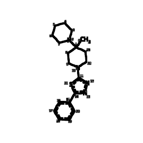 CC1(N2CCCCC2)CCN(c2nnc(-c3ccccc3)s2)CC1